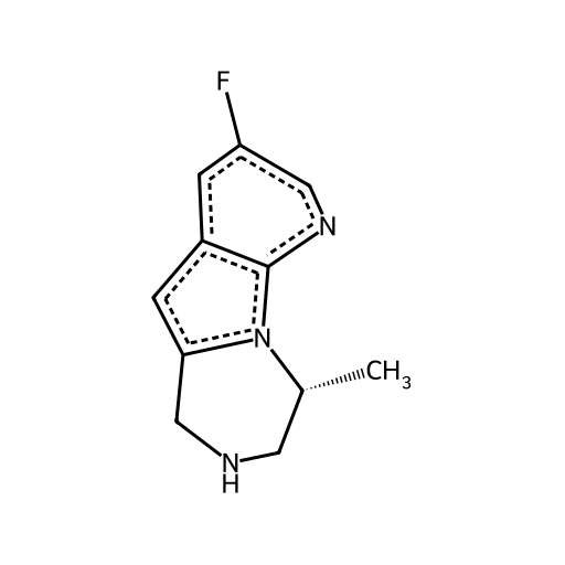 C[C@@H]1CNCc2cc3cc(F)cnc3n21